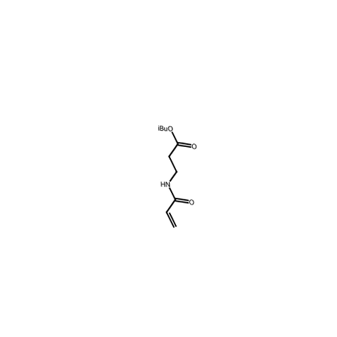 C=CC(=O)NCCC(=O)OCC(C)C